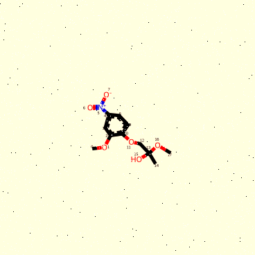 COc1cc([N+](=O)[O-])ccc1OCC(C)(O)OC